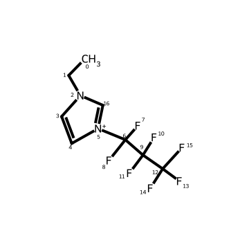 CCn1cc[n+](C(F)(F)C(F)(F)C(F)(F)F)c1